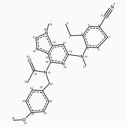 CCc1cc(C#N)ccc1N(C)c1cc2c(ncn2C)c(N(Cc2ccc(OC)cc2)C(C)=O)n1